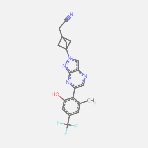 Cc1cc(C(F)(F)F)cc(O)c1-c1cnc2cn(C34CC(CC#N)(C3)C4)nc2n1